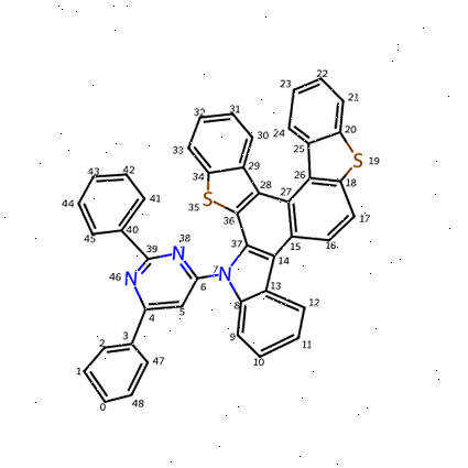 c1ccc(-c2cc(-n3c4ccccc4c4c5ccc6sc7ccccc7c6c5c5c6ccccc6sc5c43)nc(-c3ccccc3)n2)cc1